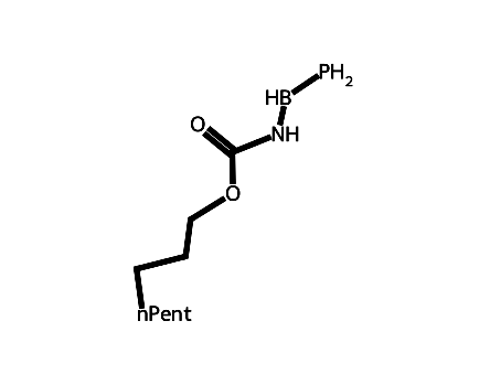 CCCCCCCCOC(=O)NBP